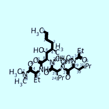 C/C=C/C[C@@H](C)[C@@H](O)[C@@H](C(=O)NC(CC)C(=O)N(C)C)N(C)C(=O)[C@H](C(C)C)N(C)C(=O)[C@H](CC(C)C)N(C)C(=O)CC